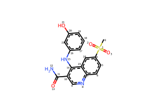 CS(=O)(=O)c1ccc2ncc(C(N)=O)c(Nc3cccc(O)c3)c2c1